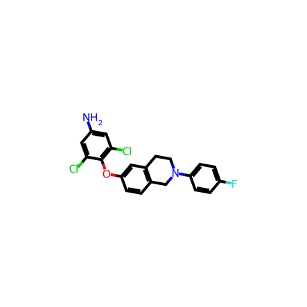 Nc1cc(Cl)c(Oc2ccc3c(c2)CCN(c2ccc(F)cc2)C3)c(Cl)c1